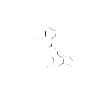 N#Cc1cc(OC(=O)c2ccccc2O)c2cc[nH]c2c1